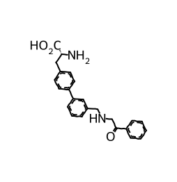 N[C@H](Cc1ccc(-c2cccc(CNCC(=O)c3ccccc3)c2)cc1)C(=O)O